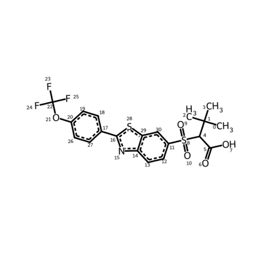 CC(C)(C)C(C(=O)O)S(=O)(=O)c1ccc2nc(-c3ccc(OC(F)(F)F)cc3)sc2c1